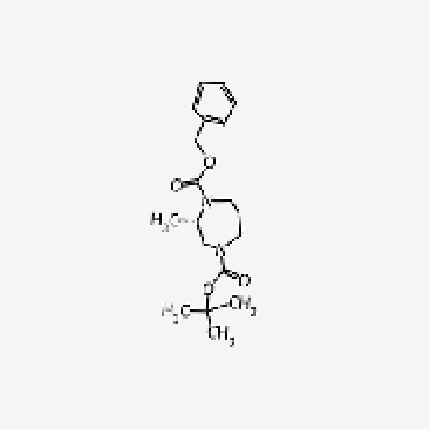 C[C@H]1CN(C(=O)OC(C)(C)C)CCCN1C(=O)OCc1ccccc1